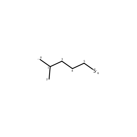 [CH2]C(C)CCC[S]